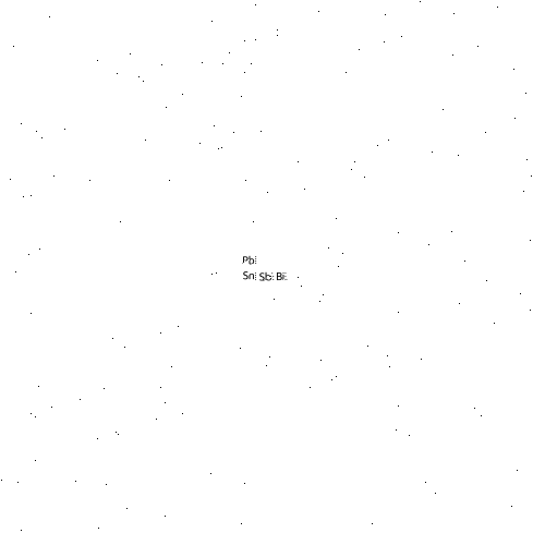 [Bi].[Pb].[Sb].[Sn]